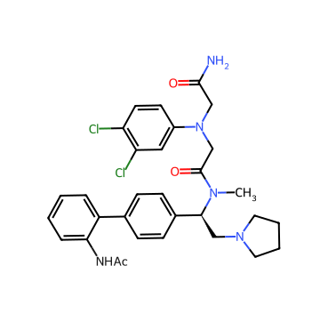 CC(=O)Nc1ccccc1-c1ccc([C@H](CN2CCCC2)N(C)C(=O)CN(CC(N)=O)c2ccc(Cl)c(Cl)c2)cc1